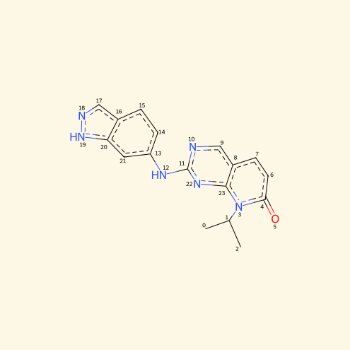 CC(C)n1c(=O)ccc2cnc(Nc3ccc4cn[nH]c4c3)nc21